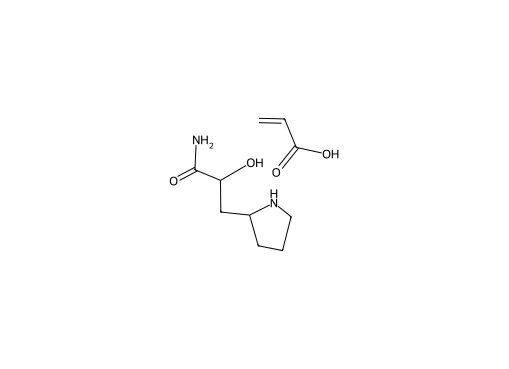 C=CC(=O)O.NC(=O)C(O)CC1CCCN1